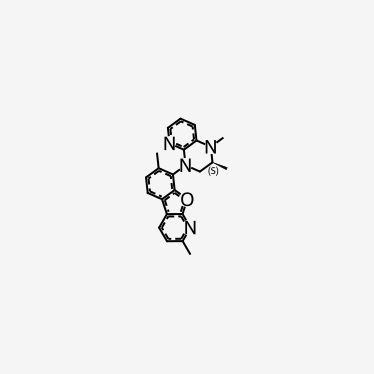 Cc1ccc2c(n1)oc1c(N3C[C@H](C)N(C)c4cccnc43)c(C)ccc12